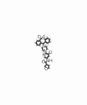 CN1C(=O)c2ccccc2C(N2CCN(c3ncc(NC(=O)C4CCOC4)cc3Cl)CC2)c2ccccc21